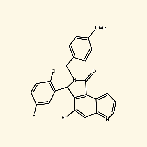 COc1ccc(CN2C(=O)c3c(c(Br)cc4ncccc34)C2c2cc(F)ccc2Cl)cc1